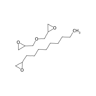 C(OCC1CO1)C1CO1.CCCCCCCCCC1CO1